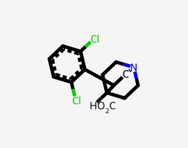 O=C(O)C12CCN(CC1)CC2c1c(Cl)cccc1Cl